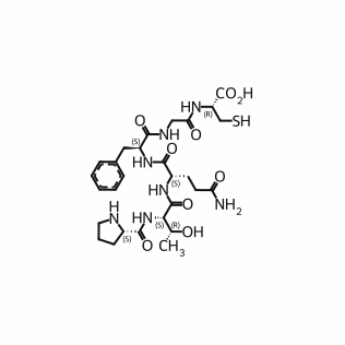 C[C@@H](O)[C@H](NC(=O)[C@@H]1CCCN1)C(=O)N[C@@H](CCC(N)=O)C(=O)N[C@@H](Cc1ccccc1)C(=O)NCC(=O)N[C@@H](CS)C(=O)O